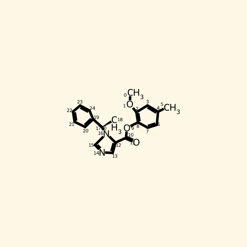 COc1cc(C)ccc1OC(=O)c1cncn1[C@H](C)c1ccccc1